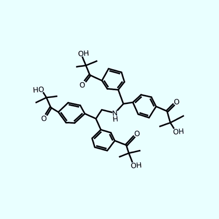 CC(C)(O)C(=O)c1ccc(C(CNC(c2ccc(C(=O)C(C)(C)O)cc2)c2cccc(C(=O)C(C)(C)O)c2)c2cccc(C(=O)C(C)(C)O)c2)cc1